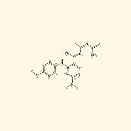 C=C(N)/N=C(C)\N=C(/N)c1cnc(N(C)C)nc1Nc1ccc(OC)nc1